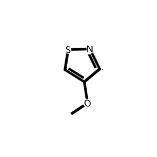 COc1[c]nsc1